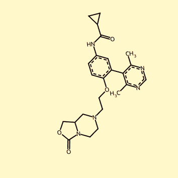 Cc1ncnc(C)c1-c1cc(NC(=O)C2CC2)ccc1OCCN1CCN2C(=O)OCC2C1